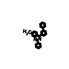 Cc1ccc2c(-c3cccc(-c4ccccc4)c3)nc(-c3ccccc3)nc2c1